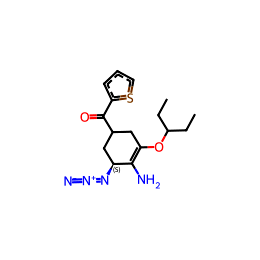 CCC(CC)OC1=C(N)[C@@H](N=[N+]=[N-])CC(C(=O)c2cccs2)C1